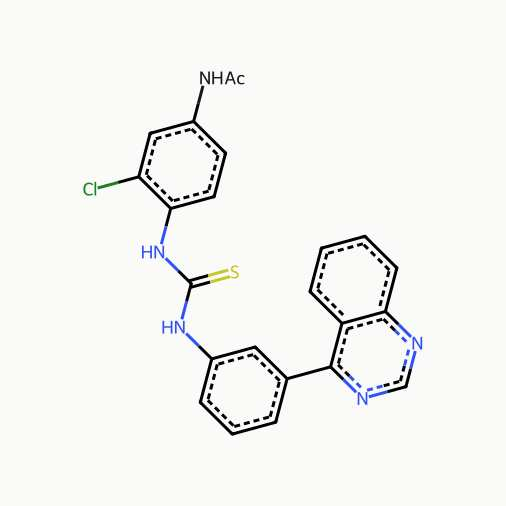 CC(=O)Nc1ccc(NC(=S)Nc2cccc(-c3ncnc4ccccc34)c2)c(Cl)c1